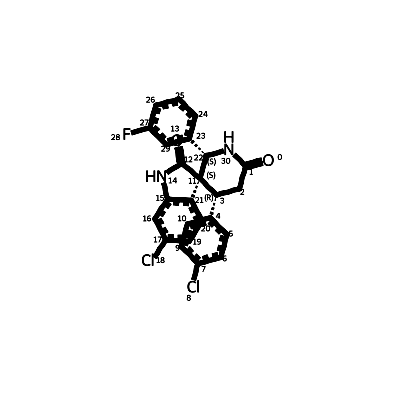 O=C1C[C@H](c2ccc(Cl)cc2)[C@@]2(C(=O)Nc3cc(Cl)ccc32)[C@H](c2cccc(F)c2)N1